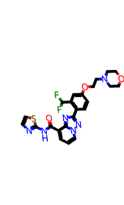 O=C(Nc1nccs1)c1cccn2nc(-c3ccc(OCCN4CCOCC4)cc3C(F)F)nc12